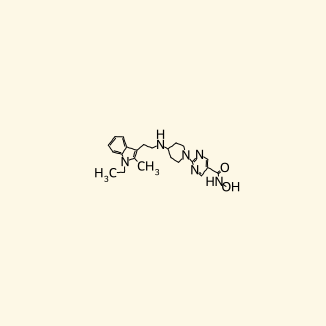 CCn1c(C)c(CCNC2CCN(c3ncc(C(=O)NO)cn3)CC2)c2ccccc21